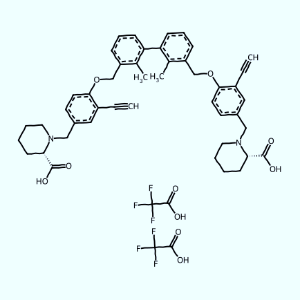 C#Cc1cc(CN2CCCC[C@H]2C(=O)O)ccc1OCc1cccc(-c2cccc(COc3ccc(CN4CCCC[C@H]4C(=O)O)cc3C#C)c2C)c1C.O=C(O)C(F)(F)F.O=C(O)C(F)(F)F